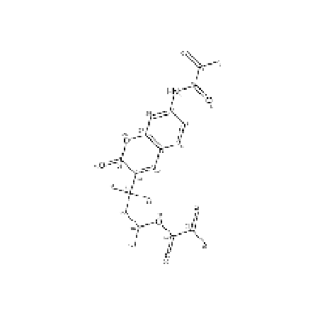 C=C(C)C(=O)Nc1ccc2cc(C(C)(C)CC(C)OC(=O)C(=C)C)c(=O)oc2c1